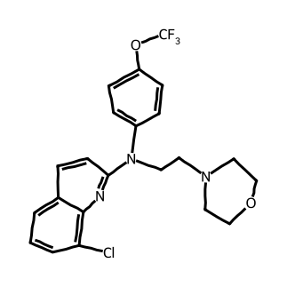 FC(F)(F)Oc1ccc(N(CCN2CCOCC2)c2ccc3cccc(Cl)c3n2)cc1